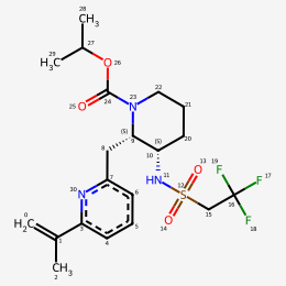 C=C(C)c1cccc(C[C@H]2[C@@H](NS(=O)(=O)CC(F)(F)F)CCCN2C(=O)OC(C)C)n1